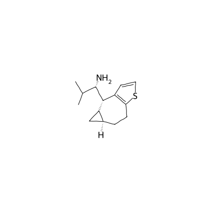 CC(C)[C@H](N)[C@@H]1c2ccsc2CC[C@H]2CC21